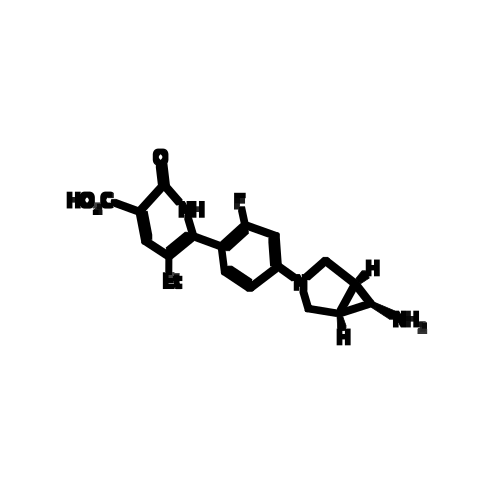 CCc1cc(C(=O)O)c(=O)[nH]c1-c1ccc(N2C[C@@H]3[C@@H](N)[C@@H]3C2)cc1F